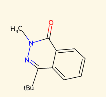 Cn1nc(C(C)(C)C)c2ccccc2c1=O